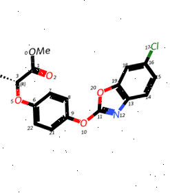 COC(=O)[C@@H](C)Oc1ccc(Oc2nc3ccc(Cl)cc3o2)cc1